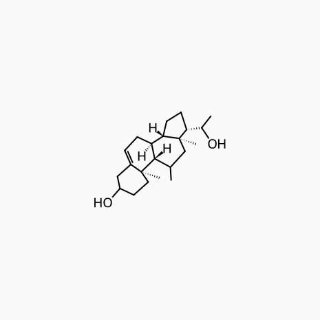 CC(O)[C@H]1CC[C@H]2[C@@H]3CC=C4CC(O)CC[C@]4(C)[C@H]3C(C)C[C@]12C